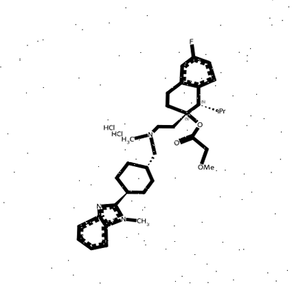 COCC(=O)O[C@]1(CCN(C)C[C@H]2CC[C@H](c3nc4ccccc4n3C)CC2)CCc2cc(F)ccc2[C@@H]1C(C)C.Cl.Cl